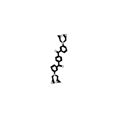 O=C(c1ccc(C(=O)c2cccc(N(CC3CO3)CC3CO3)c2)cc1)c1cccc(N(CC2CO2)CC2CO2)c1